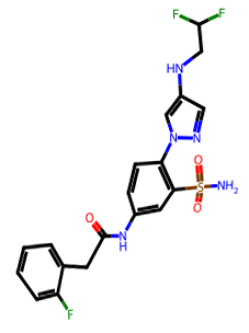 NS(=O)(=O)c1cc(NC(=O)Cc2ccccc2F)ccc1-n1cc(NCC(F)F)cn1